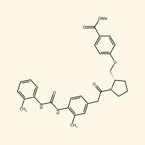 COC(=O)c1ccc(OC[C@@H]2CCCN2C(=O)Cc2ccc(NC(=O)Nc3ccccc3C)c(C)c2)cc1